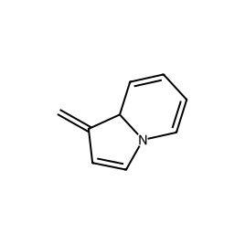 C=C1C=CN2C=CC=CC12